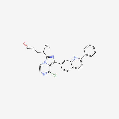 CC(CCC=O)c1nc(-c2ccc3ccc(-c4ccccc4)nc3c2)c2c(Cl)nccn12